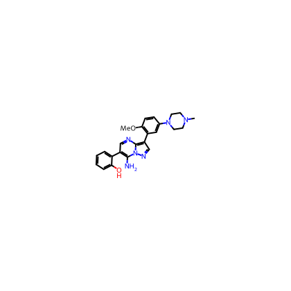 COc1ccc(N2CCN(C)CC2)cc1-c1cnn2c(N)c(-c3ccccc3O)cnc12